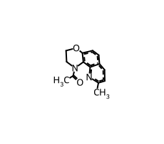 CC(=O)N1CCOc2ccc3ccc(C)nc3c21